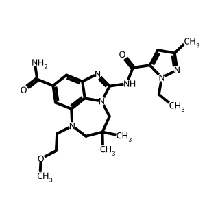 CCn1nc(C)cc1C(=O)Nc1nc2cc(C(N)=O)cc3c2n1CC(C)(C)CN3CCOC